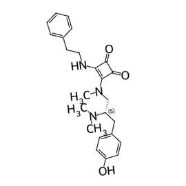 CN(C[C@H](Cc1ccc(O)cc1)N(C)C)c1c(NCCc2ccccc2)c(=O)c1=O